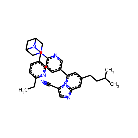 CCc1ccc(CN2C3CC2CN(c2ccc(-c4cc(CCC(C)C)cc5ncc(C#N)n45)cn2)C3)cn1